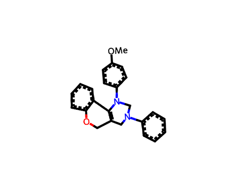 COc1ccc(N2CN(c3ccccc3)CC3=C2c2ccccc2OC3)cc1